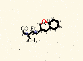 CCOC(=O)/C=C(C)\C=C\C1=Cc2ccccc2OC1